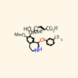 COc1cc2c(cc1OC)C(Oc1cccc(C(F)(F)F)c1)CNCC2.O=C(O)C=CC(=O)O